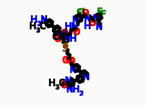 COc1ncc(-c2ccc3nccc(-c4ccc(COC(=O)CCCSSCC(NC(=O)CCC(=O)NCc5cc(C(=O)NCC(=O)N6CC(F)(F)C[C@H]6C#N)c(Cl)cn5)C(=O)Nc5ccc(-c6ccc(N)c(C)c6)cc5C)nc4)c3c2)cc1N